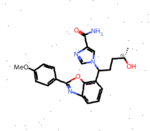 COc1ccc(-c2nc3cccc(C(CC[C@H](C)O)n4cnc(C(N)=O)c4)c3o2)cc1